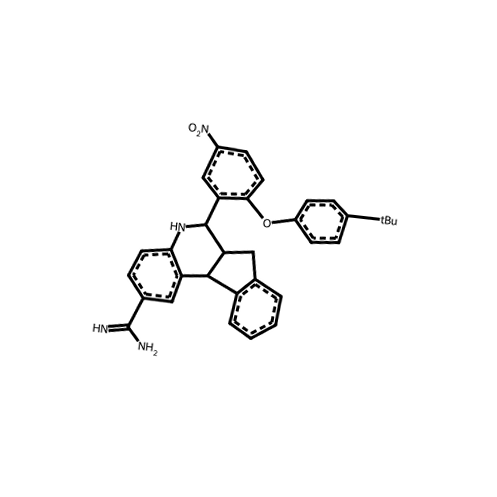 CC(C)(C)c1ccc(Oc2ccc([N+](=O)[O-])cc2C2Nc3ccc(C(=N)N)cc3C3c4ccccc4CC23)cc1